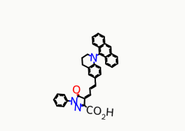 O=C(O)C1=NN(c2ccccc2)C(=O)/C1=C\C=C\c1ccc2c(c1)CCCN2c1c2ccccc2cc2ccccc12